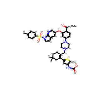 COC(=O)c1ccc(N2CCN(CC3=C(c4cc(NC(=O)OC(C)(C)C)cs4)CC(C)(C)CC3)CC2)cc1Oc1cnc2c(ccn2S(=O)(=O)c2ccc(C)cc2)c1